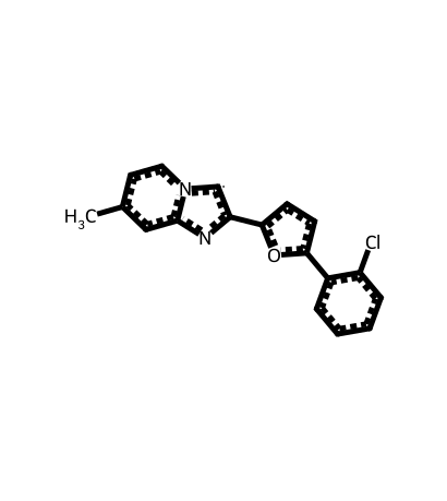 Cc1ccn2[c]c(-c3ccc(-c4ccccc4Cl)o3)nc2c1